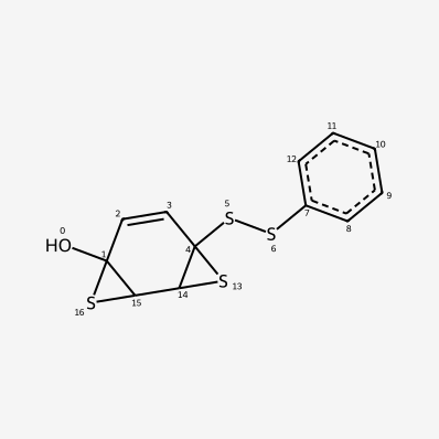 OC12C=CC3(SSc4ccccc4)SC3C1S2